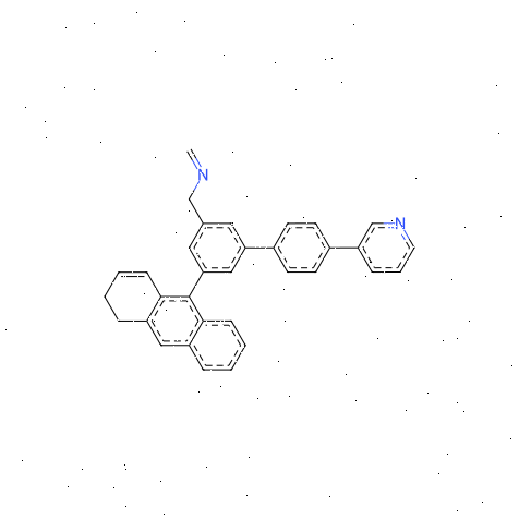 C=NCc1cc(-c2ccc(-c3cccnc3)cc2)cc(-c2c3c(cc4ccccc24)CCC=C3)c1